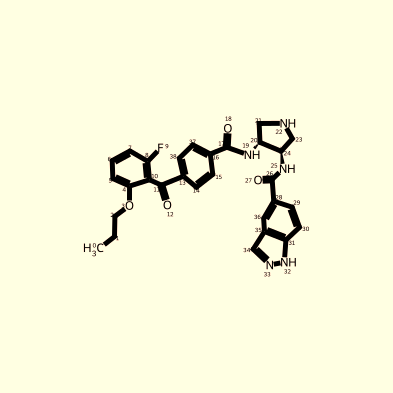 CCCOc1cccc(F)c1C(=O)c1ccc(C(=O)N[C@@H]2CNC[C@H]2NC(=O)c2ccc3[nH]ncc3c2)cc1